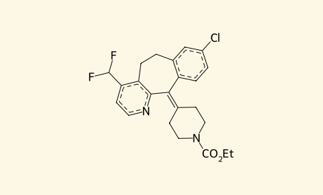 CCOC(=O)N1CCC(=C2c3ccc(Cl)cc3CCc3c(C(F)F)ccnc32)CC1